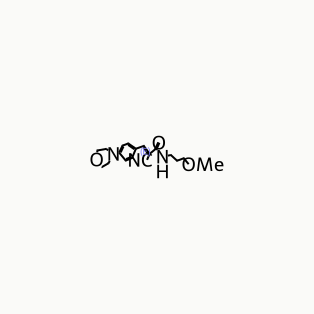 COCCCNC(=O)/C(C#N)=C/c1ccc(N2CCOCC2)cc1